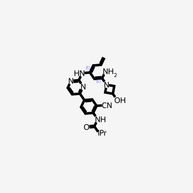 C=C/C=C(\C=C(/N)N1CC(O)C1)Nc1nccc(-c2ccc(NC(=O)C(C)C)c(C#N)c2)n1